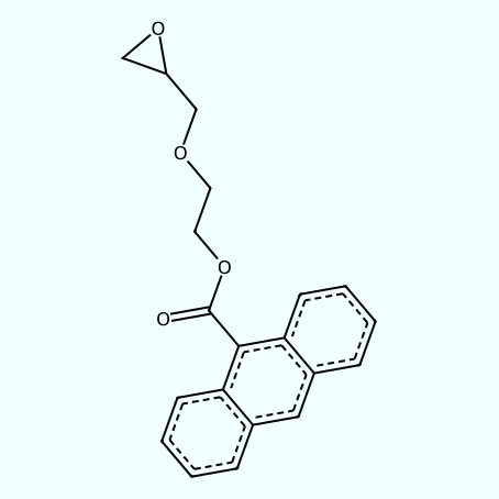 O=C(OCCOCC1CO1)c1c2ccccc2cc2ccccc12